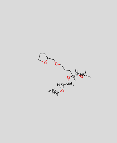 C=C[SiH](C)O[SiH2][SiH2]O[Si](C)(CCCOCC1CCCO1)[SiH2]O[SiH](C)C